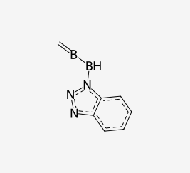 C=BBn1nnc2ccccc21